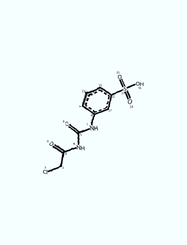 O=C(CCl)NC(=O)Nc1cccc(S(=O)(=O)O)c1